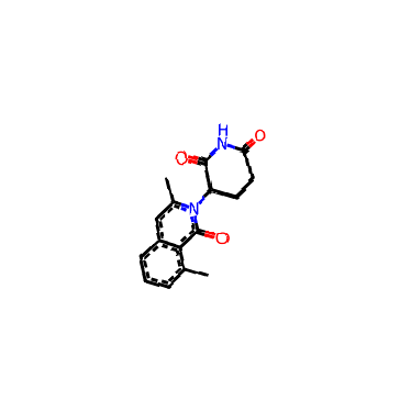 Cc1cccc2cc(C)n(C3CCC(=O)NC3=O)c(=O)c12